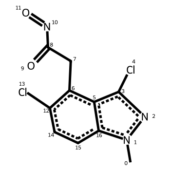 Cn1nc(Cl)c2c(CC(=O)N=O)c(Cl)ccc21